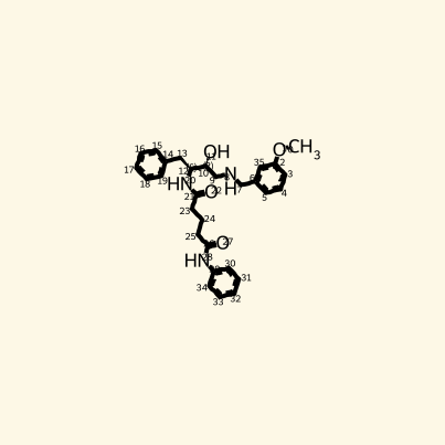 COc1cccc(CNC[C@@H](O)[C@H](Cc2ccccc2)NC(=O)CCCC(=O)Nc2ccccc2)c1